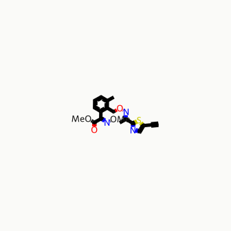 C#Cc1cnc(/C(C)=N/OCc2c(C)cccc2/C(=N\OC)C(=O)OC)s1